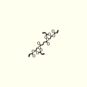 C=CC(=O)OC(COC(=O)CCC(=O)OCC(OC(=O)C=C)OC(=O)C=C)OC(=O)C=C